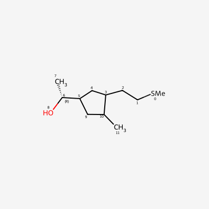 CSCCC1CC([C@@H](C)O)CC1C